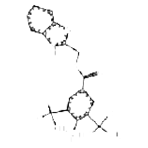 CC(C)(C)c1cc(C(=O)SCc2nc3ccccc3[nH]2)cc(C(C)(C)C)c1O